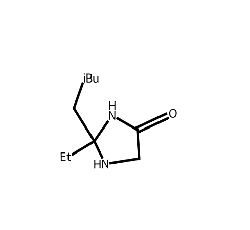 CCC(C)CC1(CC)NCC(=O)N1